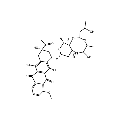 COc1cccc2c1C(=O)c1c(O)c3c(c(O)c1C2=O)C[C@@](O)(C(C)=O)C[C@@H]3O[C@H]1C[C@@H]2NC(O)C(C)OC(CC(C)O)O[C@@H]2[C@H](C)O1